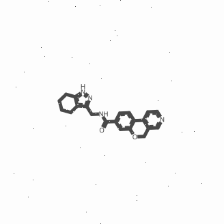 O=C(NCc1n[nH]c2c1CCCC2)c1ccc2c(c1)OCc1cnccc1-2